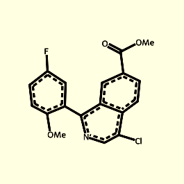 COC(=O)c1ccc2c(Cl)cnc(-c3cc(F)ccc3OC)c2c1